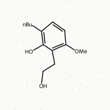 CCCCc1ccc(OC)c(CCO)c1O